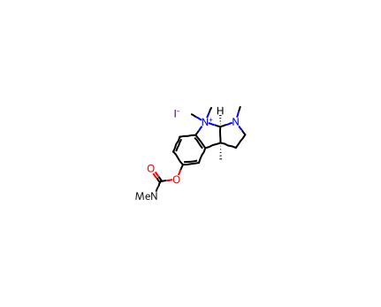 CNC(=O)Oc1ccc2c(c1)[C@]1(C)CCN(C)[C@@H]1[N+]2(C)C.[I-]